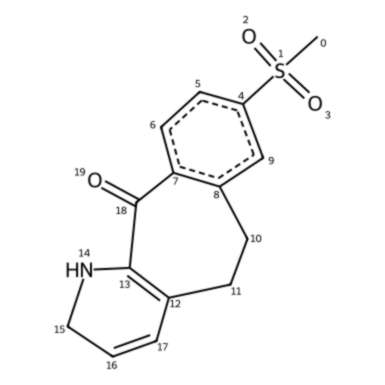 CS(=O)(=O)c1ccc2c(c1)CCC1=C(NCC=C1)C2=O